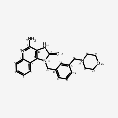 Nc1nc2ccccc2c2c1[nH]c(=O)n2Cc1cccc(CN2CCOCC2)c1